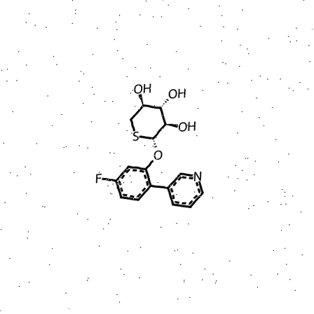 O[C@@H]1[C@@H](O)[C@H](Oc2cc(F)ccc2-c2cccnc2)SC[C@H]1O